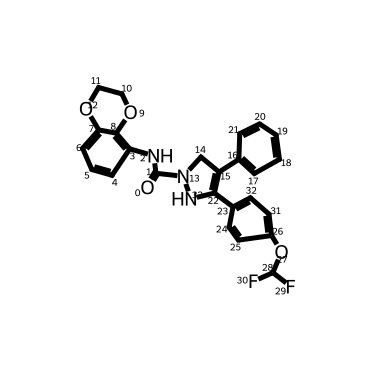 O=C(Nc1cccc2c1OCCO2)N1CC(c2ccccc2)=C(c2ccc(OC(F)F)cc2)N1